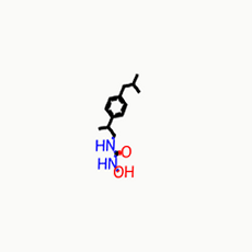 CC(C)Cc1ccc(C(C)CNC(=O)NO)cc1